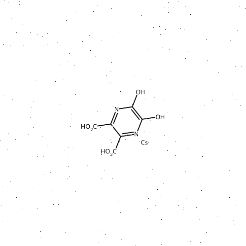 O=C(O)c1nc(O)c(O)nc1C(=O)O.[Cs]